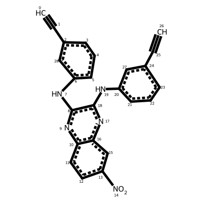 C#Cc1cccc(Nc2nc3ccc([N+](=O)[O-])cc3nc2Nc2cccc(C#C)c2)c1